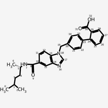 CC(C)CC[C@H](C)NC(=O)c1ccc2c(c1)ncn2Cc1ccc(-c2ccccc2C(=O)O)cc1